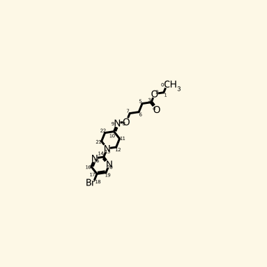 CCOC(=O)CCCON=C1CCN(c2ncc(Br)cn2)CC1